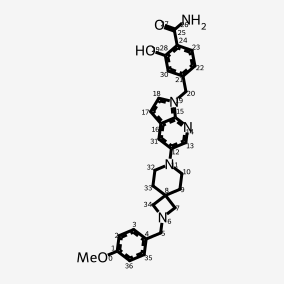 COc1ccc(CN2CC3(CCN(c4cnc5c(ccn5Cc5ccc(C(N)=O)c(O)c5)c4)CC3)C2)cc1